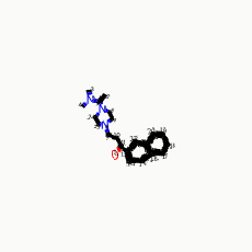 C=C(N(C)C)N1CCN(CCC(=O)c2ccc3ccccc3c2)CC1